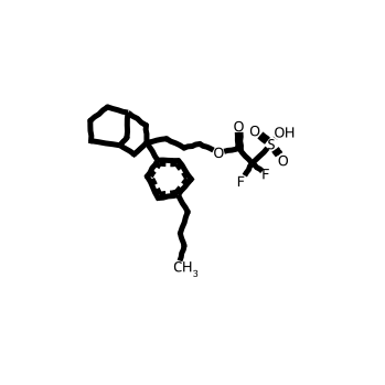 CCCCc1ccc(C2(CCCOC(=O)C(F)(F)S(=O)(=O)O)CC3CCCC(C3)C2)cc1